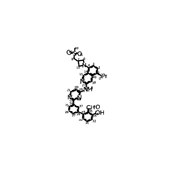 CC(C)c1ccc(N2CC(CS(C)(=O)=O)C2)c2cnc(Nc3ccnc(-c4cccc(-c5cccc(O)c5C=O)c4)n3)cc12